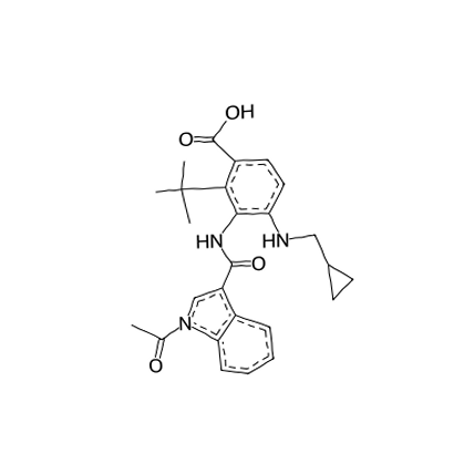 CC(=O)n1cc(C(=O)Nc2c(NCC3CC3)ccc(C(=O)O)c2C(C)(C)C)c2ccccc21